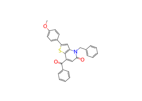 COc1ccc(-c2cc3c(s2)c(C(=O)c2ccccc2)cc(=O)n3Cc2ccccc2)cc1